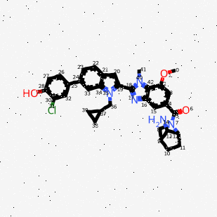 COc1cc(C(=O)N2CC3CCC2C3N)cc2nc(-c3cc4ccc(-c5ccc(O)c(Cl)c5)cc4n3CC3CC3)n(C)c12